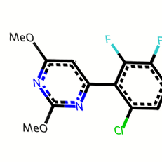 COc1[c]c(-c2c(Cl)ccc(F)c2F)nc(OC)n1